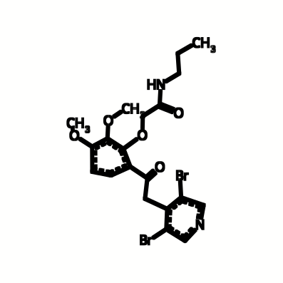 CCCNC(=O)COc1c(C(=O)Cc2c(Br)cncc2Br)ccc(OC)c1OC